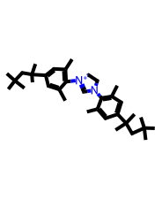 Cc1cc(C(C)(C)CC(C)(C)C)cc(C)c1N1C=[N+](c2c(C)cc(C(C)(C)CC(C)(C)C)cc2C)CC1